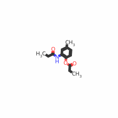 CCC(=O)Nc1cc(C)ccc1OC(=O)CC